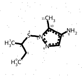 CCC(C)Sn1ncc(N)c1C